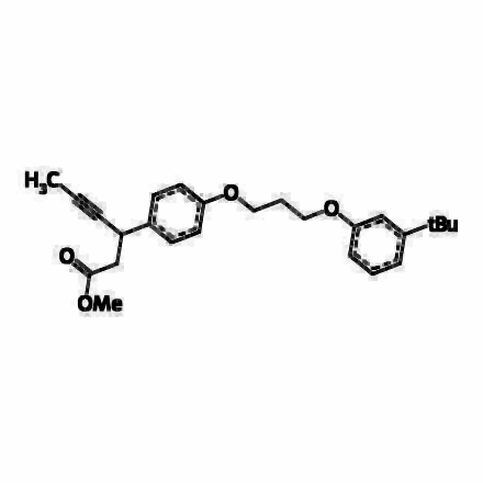 CC#CC(CC(=O)OC)c1ccc(OCCCOc2cccc(C(C)(C)C)c2)cc1